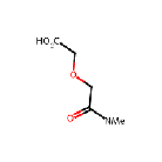 CNC(=O)COCC(=O)O